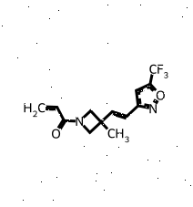 C=CC(=O)N1CC(C)(/C=C/c2cc(C(F)(F)F)on2)C1